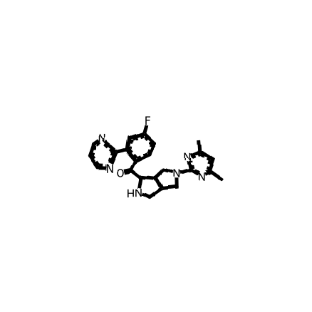 Cc1cc(C)nc(N2CC3CNC(C(=O)c4ccc(F)cc4-c4ncccn4)C3C2)n1